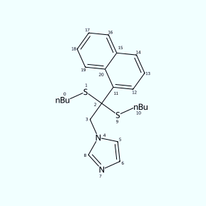 CCCCSC(Cn1ccnc1)(SCCCC)c1cccc2ccccc12